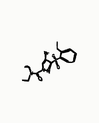 CCc1ccccc1S(=O)(=O)c1nn(C(=O)N(CC)CC)cc1Br